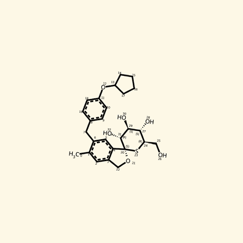 Cc1cc2c(cc1Cc1ccc(OC3CCCC3)cc1)[C@]1(OC2)S[C@H](CO)[C@@H](O)[C@H](O)[C@H]1O